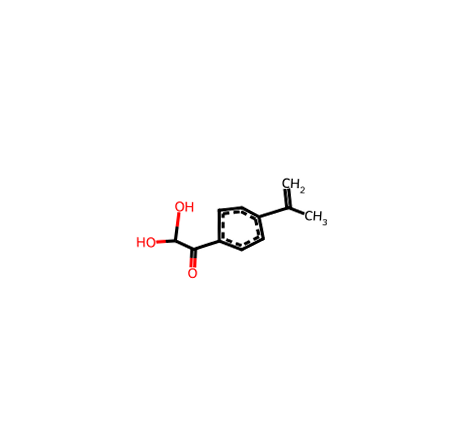 C=C(C)c1ccc(C(=O)C(O)O)cc1